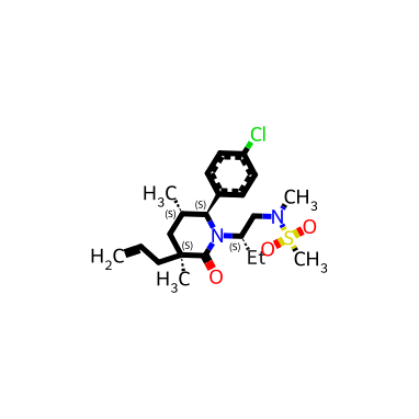 C=CC[C@@]1(C)C[C@H](C)[C@@H](c2ccc(Cl)cc2)N([C@@H](CC)CN(C)S(C)(=O)=O)C1=O